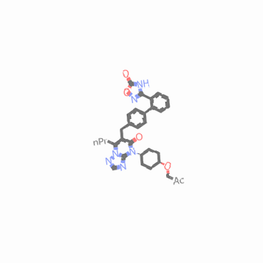 CCCc1c(Cc2ccc(-c3ccccc3-c3noc(=O)[nH]3)cc2)c(=O)n([C@H]2CC[C@H](OCC(C)=O)CC2)c2ncnn12